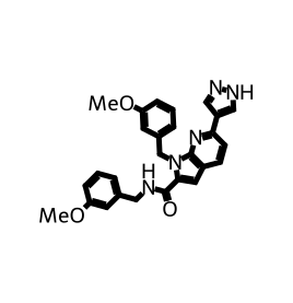 COc1cccc(CNC(=O)c2cc3ccc(-c4cn[nH]c4)nc3n2Cc2cccc(OC)c2)c1